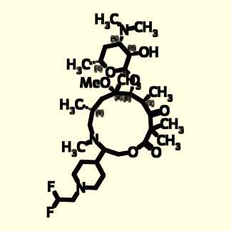 CO[C@]1(C)C[C@@H](C)CN(C)C(C2CCN(CC(F)F)CC2)COC(=O)C(C)(C)C(=O)[C@H](C)[C@H]1O[C@@H]1O[C@H](C)C[C@H](N(C)C)[C@H]1O